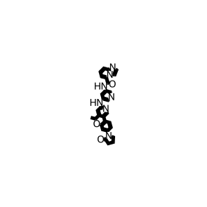 CC1Oc2cc(N3CCCC3=O)ccc2-c2cnc(Nc3cncc(NC(=O)c4cccc5nccn45)c3)cc21